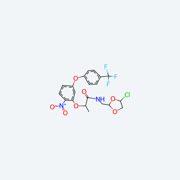 CC(Oc1cc(Oc2ccc(C(F)(F)F)cc2)ccc1[N+](=O)[O-])C(=O)NCC1OCC(Cl)O1